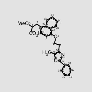 COC(Cc1ccc(OCCc2nc(-c3ccccc3)oc2C)c2ccccc12)C(=O)O